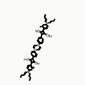 CCCCN(CCCC)c1ccc(C2C(O)C(c3ccc(N4CCN(c5ccc(C6C(O)C(c7ccc(N(CCCC)CCCC)cc7C)C6O)cc5)CC4)cc3)C2O)c(C)c1